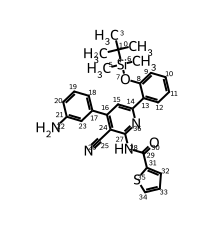 CC(C)(C)[Si](C)(C)Oc1ccccc1-c1cc(-c2cccc(N)c2)c(C#N)c(NC(=O)c2cccs2)n1